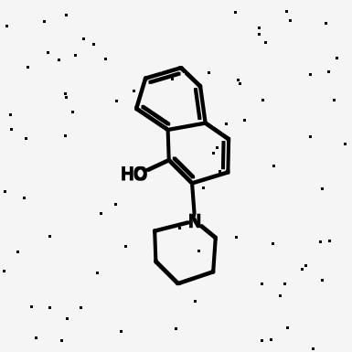 Oc1c(N2CCCCC2)ccc2ccccc12